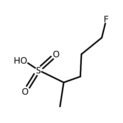 CC(CCCF)S(=O)(=O)O